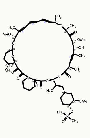 CO[C@H]1C[C@@H]2CC[C@@H](C)[C@@](O)(O2)C(=O)C(=O)N2CCCC[C@H]2C(=O)O[C@H](C(C)C[C@@H]2CC[C@@H](OP(C)(C)=O)[C@H](OC)C2)CC(=O)[C@H](C)/C=C(\C)[C@@H](O)[C@@H](OC)C(=O)[C@H](C)C[C@H](C)/C=C/C=C/C=C/1C